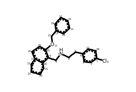 Clc1ccc(CCNCc2c(OCc3ccccc3)ccc3ccccc23)cc1